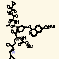 C=C[C@@H]1C[C@]1(NC(=O)[C@@H]1C[C@@H](Oc2nccc3cc(OC)ccc23)CN1C(=O)[C@H](CCC(=O)/C=C/C1CC1)NC(=O)OC(C)(C)C)C(=O)NS(=O)(=O)C1CC1